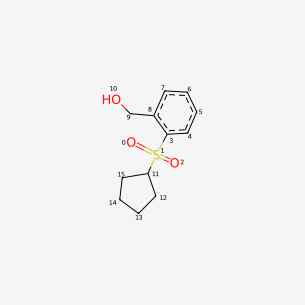 O=S(=O)(c1ccccc1CO)C1CCCC1